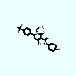 CCN1C(=O)C(C(=O)Nc2ccc(F)cc2)=C(O)CC1c1ccc(C(F)(F)F)cc1